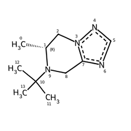 C[C@@H]1Cn2ncnc2CN1C(C)(C)C